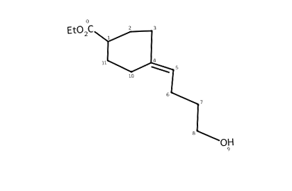 CCOC(=O)C1CCC(=CCCCO)CC1